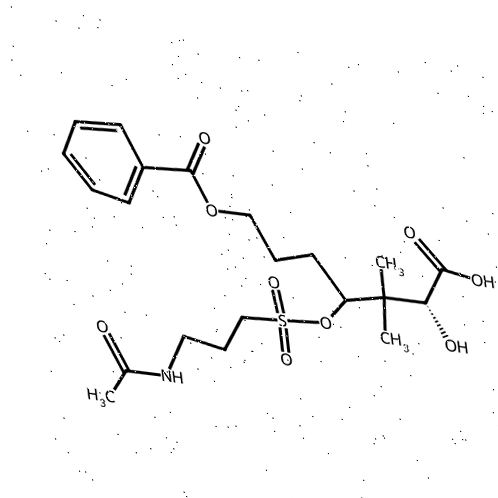 CC(=O)NCCCS(=O)(=O)OC(CCCOC(=O)c1ccccc1)C(C)(C)[C@@H](O)C(=O)O